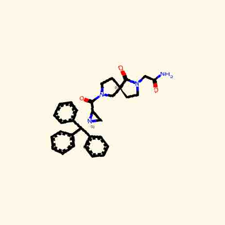 NC(=O)CN1CC[C@@]2(CCN(C(=O)C3C[N@@]3C(c3ccccc3)(c3ccccc3)c3ccccc3)C2)C1=O